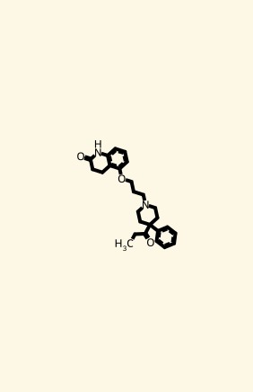 CCC(=O)C1(c2ccccc2)CCN(CCCOc2cccc3c2CCC(=O)N3)CC1